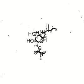 CCCNC1=N[C@@H]2[C@@H](O)[C@H](O)[C@@H](COC(=O)N(C)C)O[C@@H]2S1